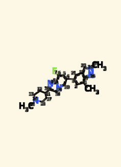 Cc1cc(-c2cc(F)c3nc(C4CCN(C)CC4)cn3c2)cc2cn(C)nc12